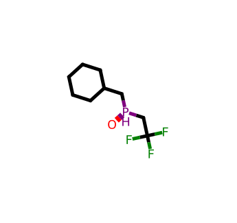 O=[PH](CC1CCCCC1)CC(F)(F)F